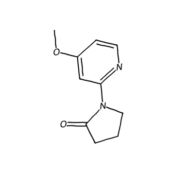 COc1ccnc(N2CCCC2=O)c1